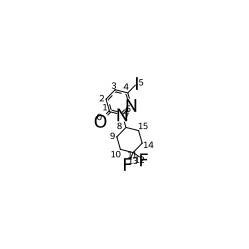 O=c1ccc(I)nn1C1CCC(F)(F)CC1